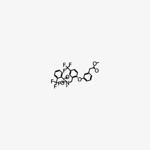 COC(=O)Cc1cccc(Oc2ccc(C(F)(F)F)cc2CN(C)S(=O)(=O)c2ccccc2C(F)(F)F)c1